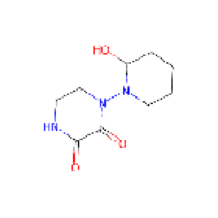 O=C1NCCN(N2CCCCC2O)C1=O